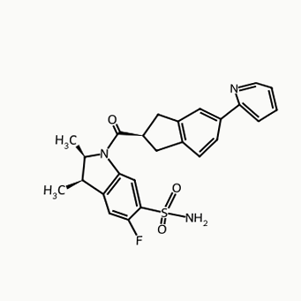 C[C@@H]1c2cc(F)c(S(N)(=O)=O)cc2N(C(=O)[C@@H]2Cc3ccc(-c4ccccn4)cc3C2)[C@@H]1C